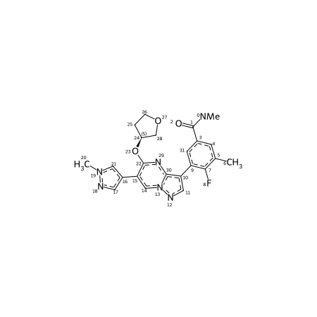 CNC(=O)c1cc(C)c(F)c(-c2cnn3cc(-c4cnn(C)c4)c(O[C@H]4CCOC4)nc23)c1